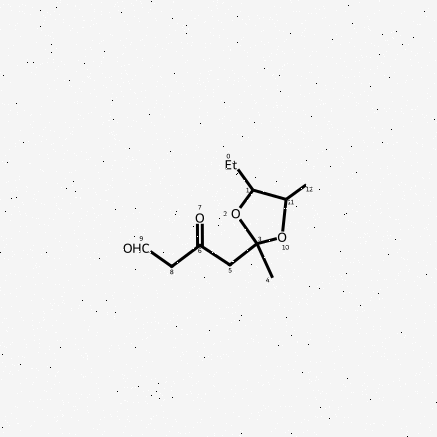 CCC1OC(C)(CC(=O)CC=O)OC1C